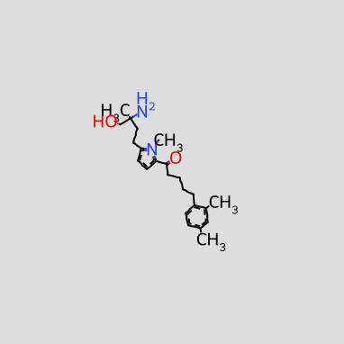 Cc1ccc(CCCCC(=O)c2ccc(CCC(C)(N)CO)n2C)c(C)c1